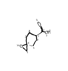 O=C(O)[C@H]1CC[C@]2(CC1)CO2